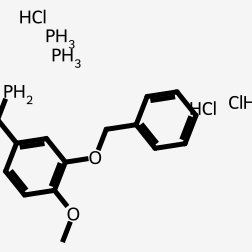 COc1ccc(CP)cc1OCc1ccccc1.Cl.Cl.Cl.P.P